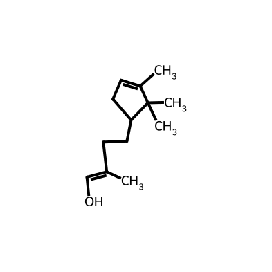 CC1=CCC(CC/C(C)=C/O)C1(C)C